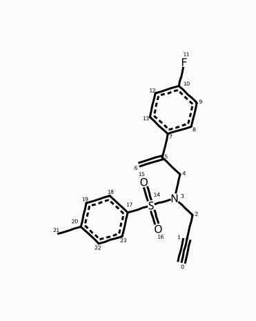 C#CCN(CC(=C)c1ccc(F)cc1)S(=O)(=O)c1ccc(C)cc1